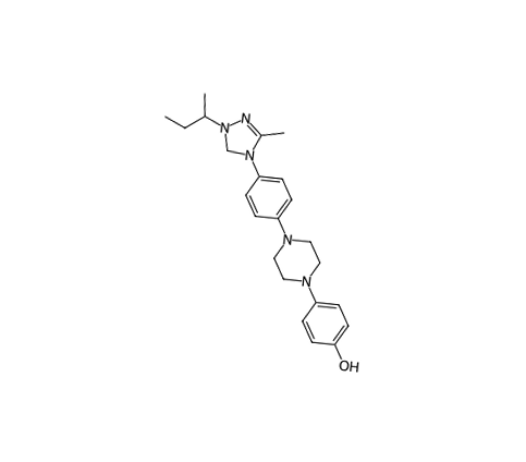 CCC(C)N1CN(c2ccc(N3CCN(c4ccc(O)cc4)CC3)cc2)C(C)=N1